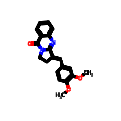 COc1ccc(/C=C2\CCn3c2nc2ccccc2c3=O)cc1OC